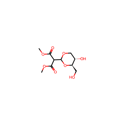 COC(=O)C(C(=O)OC)C1OC[C@H](O)[C@@H](CO)O1